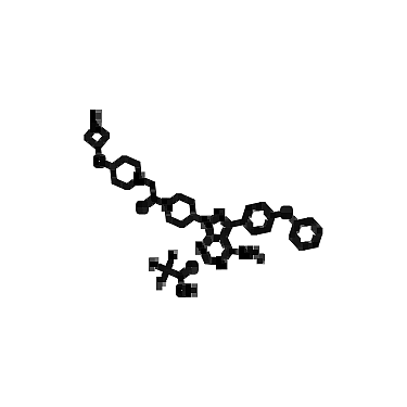 Nc1ncnc2c1c(-c1ccc(Oc3ccccc3)cc1)nn2C1CCN(C(=O)CN2CCC(OC3CNC3)CC2)CC1.O=C(O)C(F)(F)F